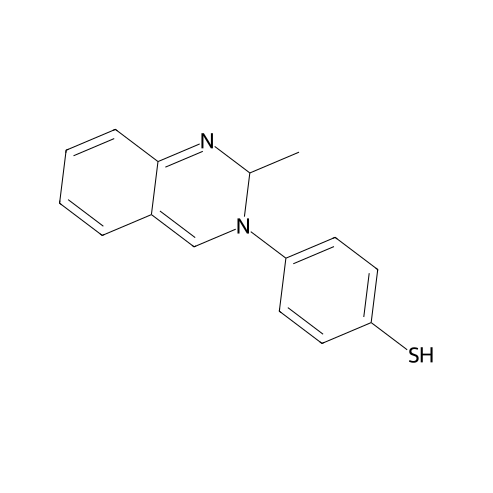 CC1N=c2ccccc2=CN1c1ccc(S)cc1